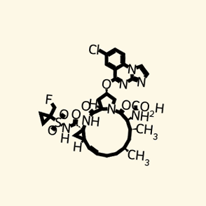 C[C@H]1CC/C=C\[C@@H]2C[C@@]2(C(=O)NS(=O)(=O)C2(CF)CC2)NC(=O)[C@@H]2C[C@@H](Oc3nc4nccn4c4ccc(Cl)cc34)CN2C(=O)[C@@H](NC(=O)O)[C@H](C)C1